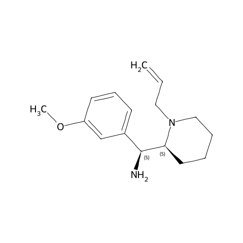 C=CCN1CCCC[C@H]1[C@@H](N)c1cccc(OC)c1